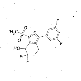 CS(=O)(=O)c1sc(-c2cc(F)cc(F)c2)c2c1C(O)C(F)(F)CC2